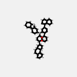 c1ccc(-c2ccc(-c3cccc4ccccc34)cc2N(c2ccc(-c3ccc4c(ccc5ccccc54)c3)cc2)c2ccc3c(c2)oc2ccccc23)cc1